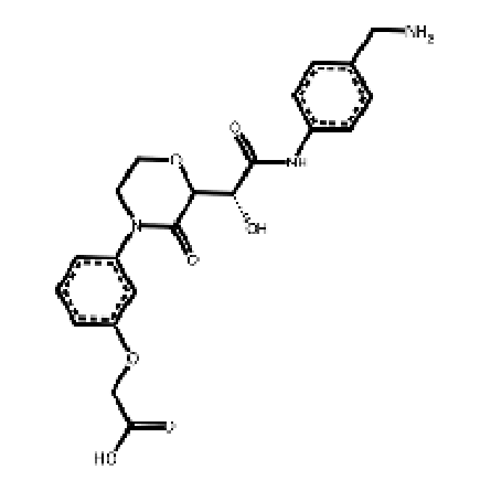 NCc1ccc(NC(=O)[C@H](O)C2OCCN(c3cccc(OCC(=O)O)c3)C2=O)cc1